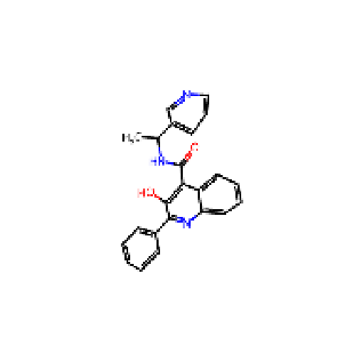 CC(NC(=O)c1c(O)c(-c2ccccc2)nc2ccccc12)c1cccnc1